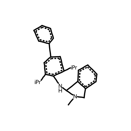 CC(C)c1cc(-c2ccccc2)cc(C(C)C)c1NC1c2ccccc2CN1C